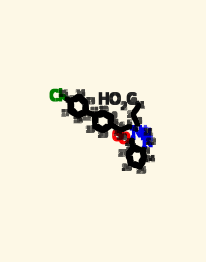 O=C(O)CCC[N+]1(CC(=O)c2ccc(-c3ccc(Cl)cc3)cc2)N=Nc2ccccc2C1=O